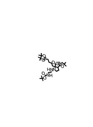 CC(C)(C)OC(=O)NCCNN1CCC(C(=O)OC(C)(C)C)C1(CCCCB1OC(C)(C)C(C)(C)O1)C(=O)O